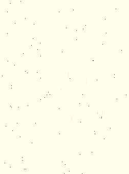 FCC(F)C(F)(F)C(F)(F)C(F)(F)F